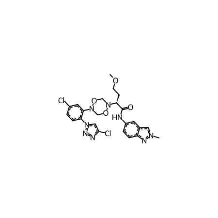 COCC[C@@H](C(=O)Nc1ccc2nn(C)cc2c1)N1CON(c2cc(Cl)ccc2-n2cc(Cl)nn2)CO1